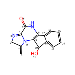 C=C1CN=C2C(=O)NC3=C(C(O)c4ccccc43)N12